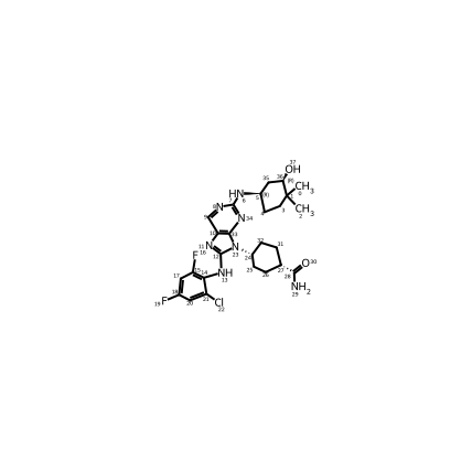 CC1(C)CC[C@@H](Nc2ncc3nc(Nc4c(F)cc(F)cc4Cl)n([C@H]4CC[C@@H](C(N)=O)CC4)c3n2)C[C@H]1O